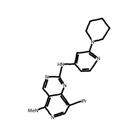 CNc1ncc(C(C)C)c2nc(Nc3ccnc(N4CCCCC4)c3)ncc12